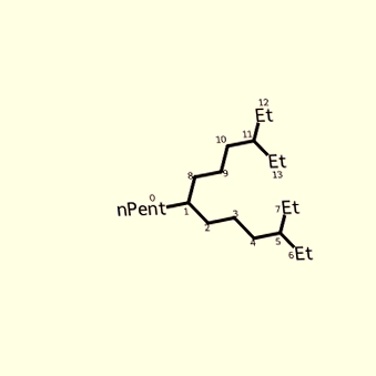 CCCCCC(CCCC(CC)CC)CCCC(CC)CC